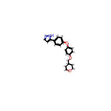 c1cc(-c2ccc(Oc3ccc(OCC4CCOCC4)cc3)cc2)[nH]n1